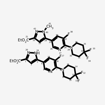 CCOC(=O)c1cc(-c2cnc(N3CCC(F)(F)CC3)c(F)c2)[nH]n1.CCOC(=O)c1cc(-c2cnc(N3CCC(F)(F)CC3)c(F)c2)n(C)n1